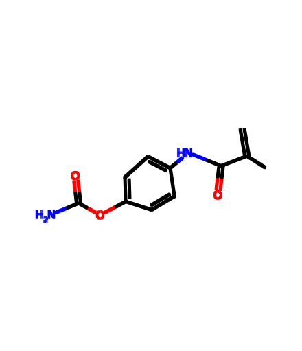 C=C(C)C(=O)Nc1ccc(OC(N)=O)cc1